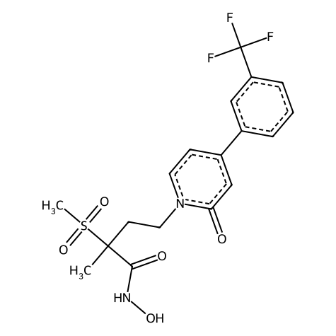 CC(CCn1ccc(-c2cccc(C(F)(F)F)c2)cc1=O)(C(=O)NO)S(C)(=O)=O